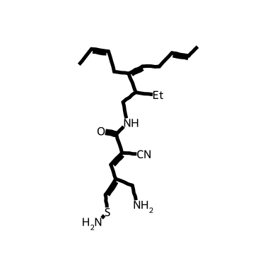 C/C=C\CC(=CC/C=C/C)C(CC)CNC(=O)/C(C#N)=C/C(=C/SN)CN